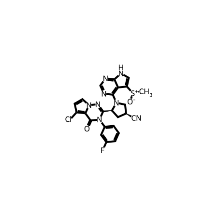 C[S@@+]([O-])c1c[nH]c2ncnc(N3C[C@@H](C#N)C[C@H]3c3nn4ccc(Cl)c4c(=O)n3-c3cccc(F)c3)c12